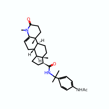 CC(=O)Nc1ccc(C(C)(C)NC(=O)[C@H]2CC[C@H]3[C@@H]4CC=C5N(C)C(=O)CC[C@]5(C)[C@H]4CC[C@]23C)cc1